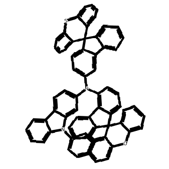 c1ccc(-n2c3ccccc3c3ccc(N(c4ccc5c(c4)-c4ccccc4C54c5ccccc5Sc5ccccc54)c4cccc5c4-c4ccccc4C54c5ccccc5Oc5ccccc54)cc32)cc1